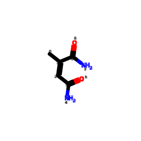 CC(=CC(N)=O)C(N)=O